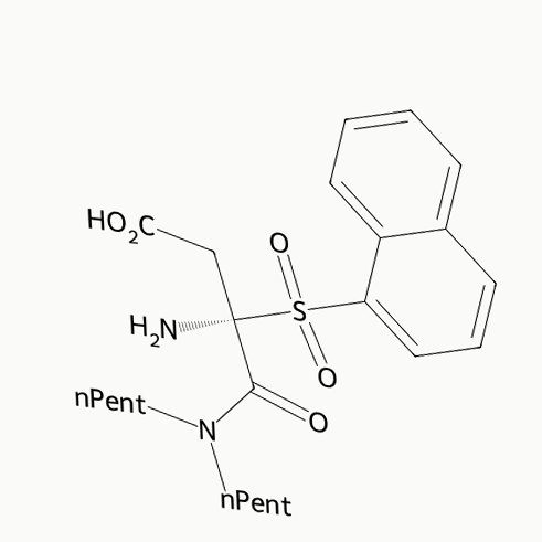 CCCCCN(CCCCC)C(=O)[C@@](N)(CC(=O)O)S(=O)(=O)c1cccc2ccccc12